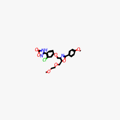 COCCOCC1OC(c2ccc(OC)cc2)=NC1COc1ccc(-c2noc(=O)[nH]2)c(Cl)c1